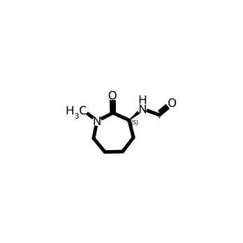 CN1CCCC[C@H](N[C]=O)C1=O